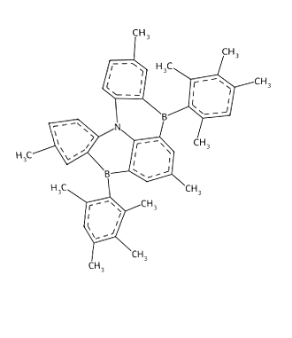 Cc1ccc2c(c1)B(c1c(C)cc(C)c(C)c1C)c1cc(C)cc3c1N2c1ccc(C)cc1B3c1c(C)cc(C)c(C)c1C